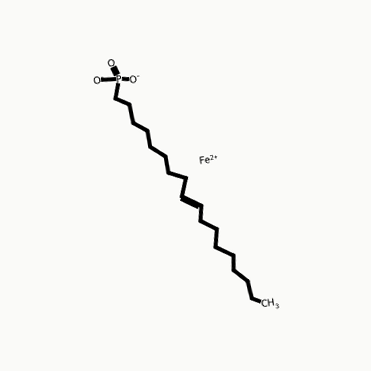 CCCCCCCCC=CCCCCCCCCP(=O)([O-])[O-].[Fe+2]